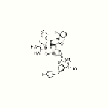 C[C@@H](C(=O)NC(C(=O)N1Cc2ccc(NC(=O)[C@]3(C)CN(C=O)c4cc(Cc5ccc(F)cc5)ccc43)cc2C1C(=O)Nc1c(F)cccc1F)C1CCOCC1)N(C)C(=O)OC(C)(C)C